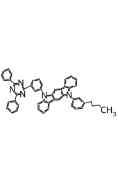 CCCCc1cccc(-n2c3ccccc3c3cc4c(cc32)c2ccccc2n4-c2cccc(-c3nc(-c4ccccc4)nc(-c4ccccc4)n3)c2)c1